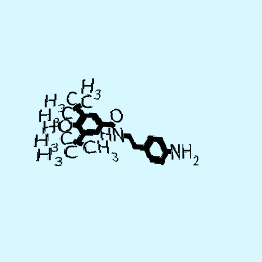 CC(C)(C)c1cc(C(=O)NCCc2ccc(N)cc2)cc(C(C)(C)C)c1O